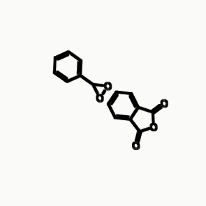 O=C1OC(=O)c2ccccc21.c1ccc(C2OO2)cc1